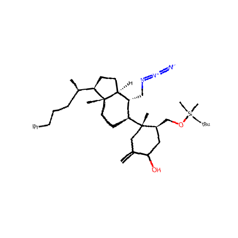 C=C1C[C@](C)([C@H]2CC[C@]3(C)[C@@H]([C@H](C)CCCC(C)C)CC[C@H]3[C@@H]2CN=[N+]=[N-])[C@@H](CO[Si](C)(C)C(C)(C)C)CC1O